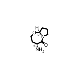 N[C@H]1CCO[C@H]2CCCN2C1=O